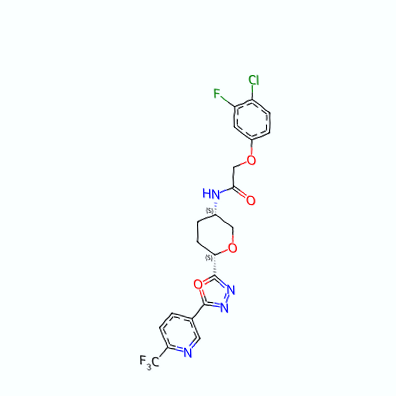 O=C(COc1ccc(Cl)c(F)c1)N[C@H]1CC[C@@H](c2nnc(-c3ccc(C(F)(F)F)nc3)o2)OC1